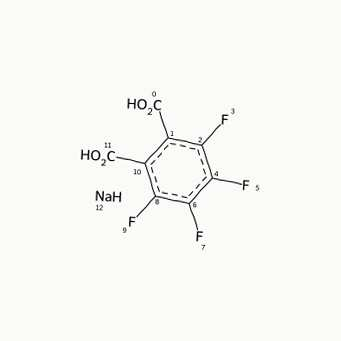 O=C(O)c1c(F)c(F)c(F)c(F)c1C(=O)O.[NaH]